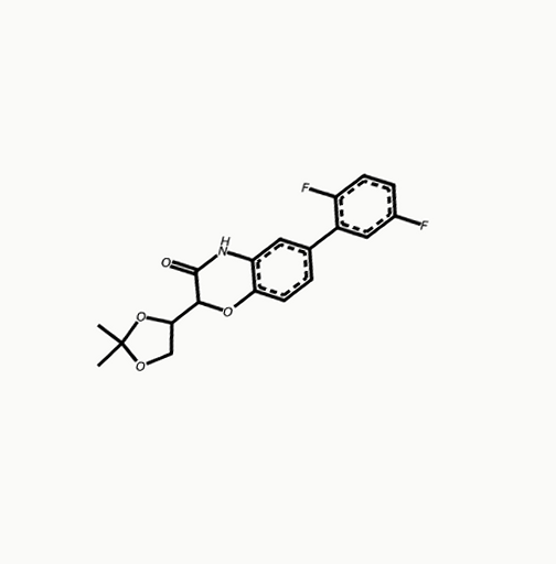 CC1(C)OCC(C2Oc3ccc(-c4cc(F)ccc4F)cc3NC2=O)O1